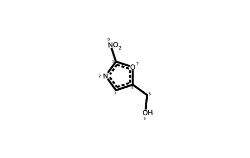 O=[N+]([O-])c1ncc(CO)o1